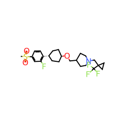 CS(=O)(=O)c1ccc([C@H]2CC[C@H](OCC3CCN(CC4(C(F)(F)F)CC4)CC3)CC2)c(F)c1